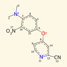 CN(C)c1ccc(Oc2ccnc(C#N)c2)cc1[N+](=O)[O-]